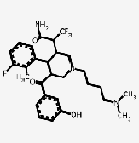 Cc1c(F)cccc1C1C(C(=O)c2cccc(O)c2)CN(CCCCN(C)C)CC1C(C(N)=O)C(F)(F)F